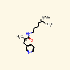 CN[C@@H](CCCCNC(=O)[C@H](C)Cc1cccnc1)C(=O)O